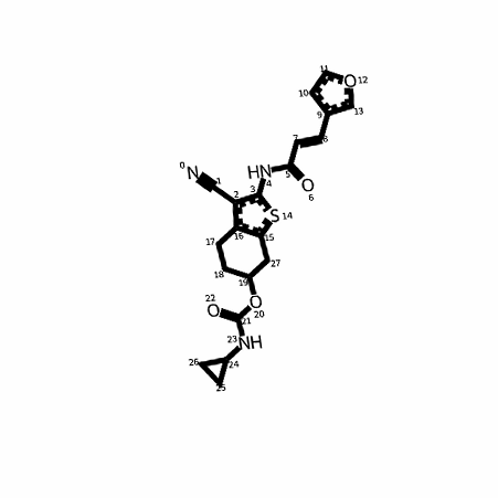 N#Cc1c(NC(=O)C=Cc2ccoc2)sc2c1CCC(OC(=O)NC1CC1)C2